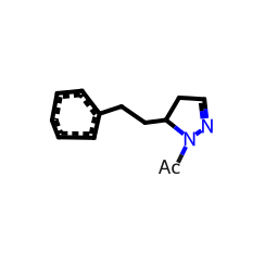 CC(=O)N1N=CCC1CCc1ccccc1